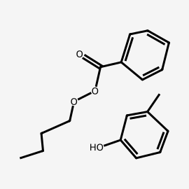 CCCCOOC(=O)c1ccccc1.Cc1cccc(O)c1